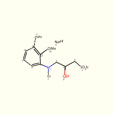 CCN(CC(O)CS(=O)(=O)O)c1cccc(OC)c1OC.[NaH]